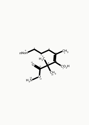 CCCCCCCCCCCCC(C)=C(C(=O)O)C(C)(C)C(=O)O[SiH3]